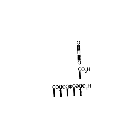 CC(=O)O.CC(=O)O.CC(=O)O.CC(=O)O.CC(=O)O.CC(=O)O.[O]=[U]=[O]